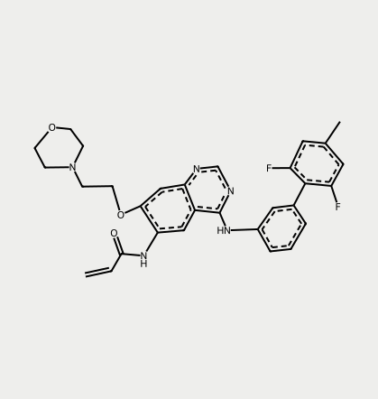 C=CC(=O)Nc1cc2c(Nc3cccc(-c4c(F)cc(C)cc4F)c3)ncnc2cc1OCCN1CCOCC1